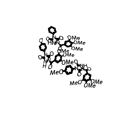 COc1cc(C(=O)n2[nH]c(=O)n(-c3ccc(Cl)cc3)c2=O)cc(OC)c1OC.COc1cc(C(=O)n2[nH]c(=O)n(-c3ccccc3)c2=O)cc(OC)c1OC.COc1ccc(-n2c(=O)[nH]n(C(=O)c3cc(OC)c(OC)c(OC)c3)c2=O)cc1